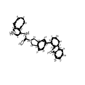 O=C(Nc1c[nH]c2ccccc12)N1Cc2ccc(-c3cccc4c3sc3ccccc34)cc2C1